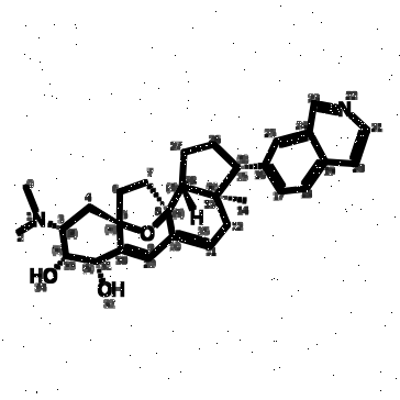 CN(C)[C@@H]1C[C@@]23CC[C@@]4(O2)C(=CC[C@]2(C)[C@@H](c5ccc6ccncc6c5)CC[C@H]24)C=C3[C@H](O)[C@@H]1O